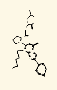 CCCCCn1c(N2CCC[C@H]2C(=O)N[C@@H](CC(C)C)C(=O)O)cc(=O)n2cc(-c3ccc(Cl)cc3)nc12